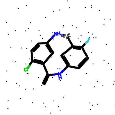 C=C(Nc1ccc(F)c(C(F)(F)F)c1)c1cc(N)ccc1Cl